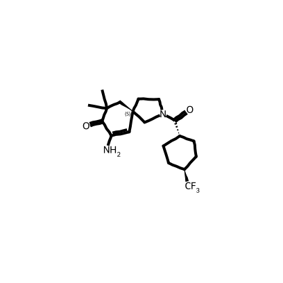 CC1(C)C[C@@]2(C=C(N)C1=O)CCN(C(=O)[C@H]1CC[C@H](C(F)(F)F)CC1)C2